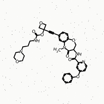 CN1C(=O)C(NC(=O)c2cc(Oc3ccccc3)ccn2)COc2ccc(C#CC3(OC(=O)NCCCN4CCOCC4)COC3)cc21